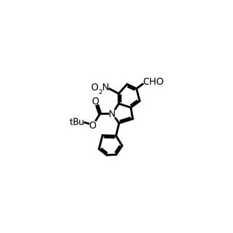 CC(C)(C)OC(=O)n1c(-c2ccccc2)cc2cc(C=O)cc([N+](=O)[O-])c21